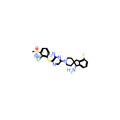 CS(=N)(=O)c1cccc(Sc2ncc(N3CCC4(CC3)Cc3c(F)cccc3[C@H]4N)nc2N)c1Cl